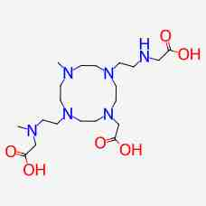 CN1CCN(CCNCC(=O)O)CCN(CC(=O)O)CCN(CCN(C)CC(=O)O)CC1